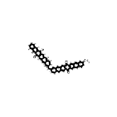 Cc1ccc2cc3cc4c(cc3cc2c1)C(=O)c1cc2cc3cc(Cc5ccc6cc7cc8c(cc7cc6c5)C(=O)c5cc6ccccc6cc5C8=O)ccc3cc2cc1C4=O